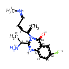 C=C(/C=C\C=N/C)n1c([C@H](C)N)nc2ccc(F)cc2c1=O